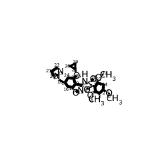 COc1cc(OC)c(S(=O)(=O)Nc2noc3cc(Cn4cccn4)cc(OC4CC4)c23)c(OC)c1